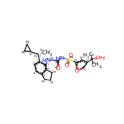 C[C@H](c1ccc2c(c1NC(=O)NS(=O)(=O)c1cc(C(C)(C)O)co1)CCC2)C1CC1